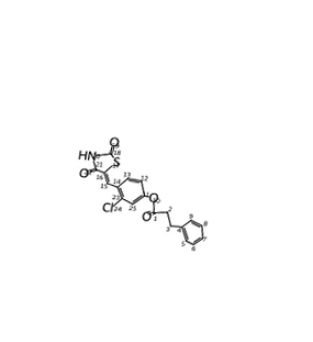 O=C(CCc1ccccc1)Oc1ccc(/C=C2\SC(=O)NC2=O)c(Cl)c1